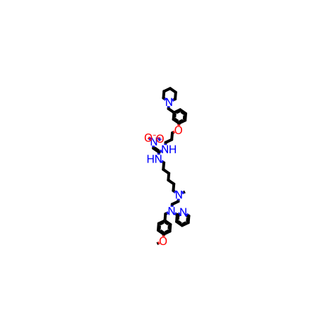 COc1ccc(CN(CCN(C)CCCCCCNC(=C[N+](=O)[O-])NCCCOc2cccc(CN3CCCCC3)c2)c2ccccn2)cc1